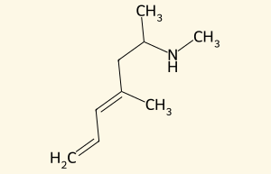 C=C/C=C(\C)CC(C)NC